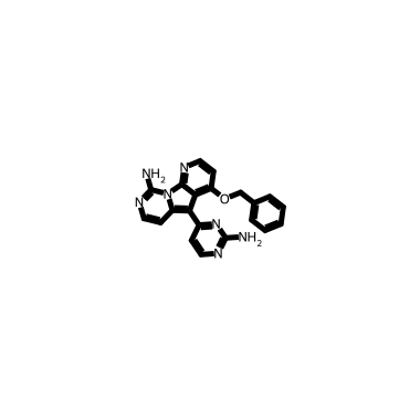 Nc1nccc(-c2c3c(OCc4ccccc4)ccnc3n3c(N)nccc23)n1